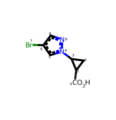 O=C(O)C1CC1n1cc(Br)cn1